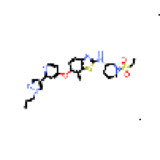 CCCn1cc(-c2cc(Oc3ccc4nc(N[C@H]5CCCN(S(=O)(=O)CC)C5)sc4c3C)ccn2)cn1